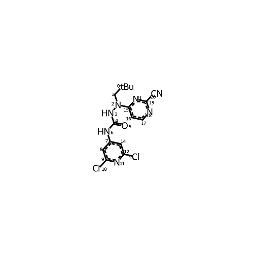 CC(C)(C)CN(NC(=O)Nc1cc(Cl)nc(Cl)c1)c1ccnc(C#N)n1